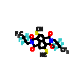 N#CSc1cc2c3c(c(SC#N)cc4c3c1C(=O)N(CC(F)(F)C(F)(F)C(F)(F)F)C4=O)C(=O)N(CC(F)(F)C(F)(F)C(F)(F)F)C2=O